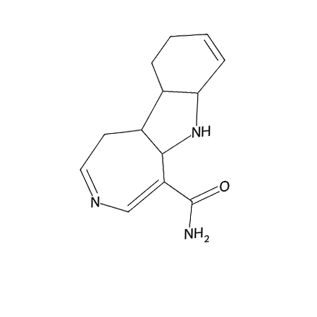 NC(=O)C1=CN=CCC2C1NC1C=CCCC12